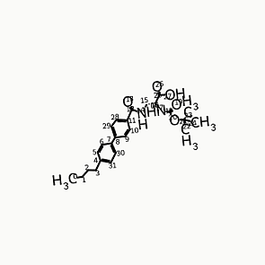 CCCCc1ccc(-c2ccc(C(=O)NC[C@@H](NC(=O)OC(C)(C)C)C(=O)O)cc2)cc1